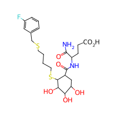 NC(=O)C(CCC(=O)O)NC(=O)C1CC(O)C(O)C(O)C1SCCCCSCc1cccc(F)c1